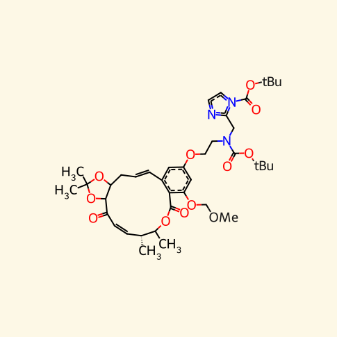 COCOc1cc(OCCN(Cc2nccn2C(=O)OC(C)(C)C)C(=O)OC(C)(C)C)cc2c1C(=O)OC(C)[C@H](C)/C=C\C(=O)C1OC(C)(C)OC1C/C=C/2